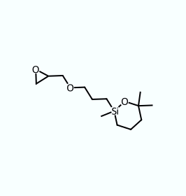 CC1(C)CCC[Si](C)(CCCOCC2CO2)O1